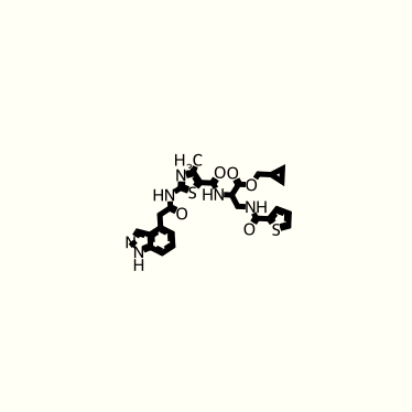 Cc1nc(NC(=O)Cc2cccc3[nH]ncc23)sc1C(=O)NC(CNC(=O)c1cccs1)C(=O)OCC1CC1